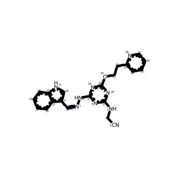 N#CCNc1nc(N/N=C\c2c[nH]c3ccccc23)nc(OCCc2ccccn2)n1